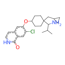 CC(C)C(N)C1(CC2CC2)CCC(Oc2cc3cc[nH]c(=O)c3cc2Cl)CC1